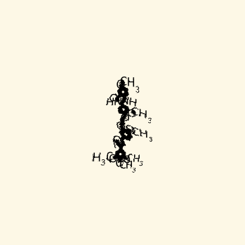 COc1ccc2c(c1)C(=O)NC(c1ccc(OCCOc3cc(C4CC(c5cc(OC)c(OC)c(OC)c5)=NO4)ccc3OC)c(OC)c1)N2